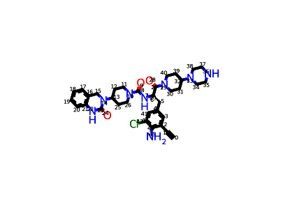 C#Cc1cc(C[C@@H](NC(=O)N2CCC(N3Cc4ccccc4NC3=O)CC2)C(=O)N2CCC(N3CCNCC3)CC2)cc(Cl)c1N